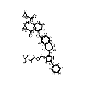 C[Si](C)(C)CCOCn1cc(-c2ccccc2)nc1C1COc2ccc(OC3=CC=NC(NC(=O)C4CC4)N3C(=O)C3CC3)cc2C1